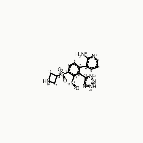 Nc1ncccc1-c1ccc(S(=O)(=O)C2CNC2)c([S+]=O)c1-c1nn[nH]n1